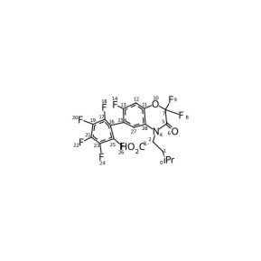 CC(C)C[C@H](C(=O)O)N1C(=O)C(F)(F)Oc2cc(F)c(-c3c(F)c(F)c(F)c(F)c3F)cc21